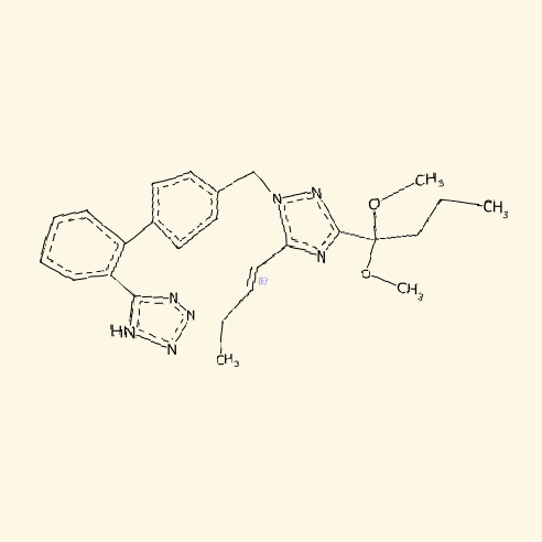 CC/C=C/c1nc(C(CCC)(OC)OC)nn1Cc1ccc(-c2ccccc2-c2nnn[nH]2)cc1